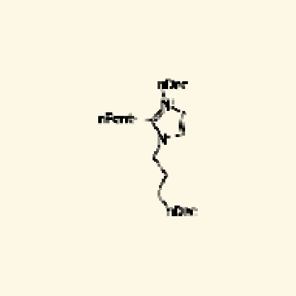 CCCCCCCCCCCCCn1cc[n+](CCCCCCCCCC)c1CCCCC